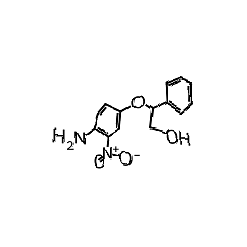 Nc1ccc(OC(CO)c2ccccc2)cc1[N+](=O)[O-]